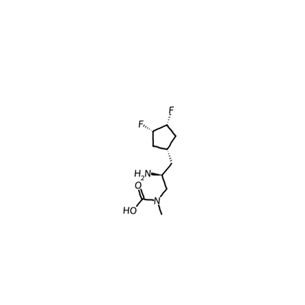 CN(C[C@@H](N)C[C@H]1C[C@@H](F)[C@@H](F)C1)C(=O)O